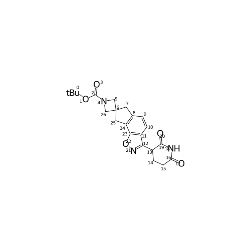 CC(C)(C)OC(=O)N1CC2(Cc3ccc4c(C5CCC(=O)NC5=O)noc4c3C2)C1